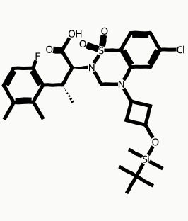 Cc1ccc(F)c([C@@H](C)[C@@H](C(=O)O)N2CN(C3CC(O[Si](C)(C)C(C)(C)C)C3)c3cc(Cl)ccc3S2(=O)=O)c1C